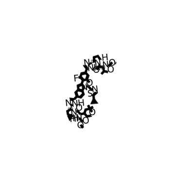 COC(=O)NC(C(=O)N1[C@@H]2CC2C[C@H]1c1ncc(-c2ccc3c(c2)cc2n3C(c3ncc(C4CC4)s3)Oc3cc(-c4cnc([C@@H]5CCCN5C(=O)[C@@H](NC(=O)OC)C(C)C)[nH]4)cc(F)c3-2)[nH]1)C1CCOC(C)(C)C1